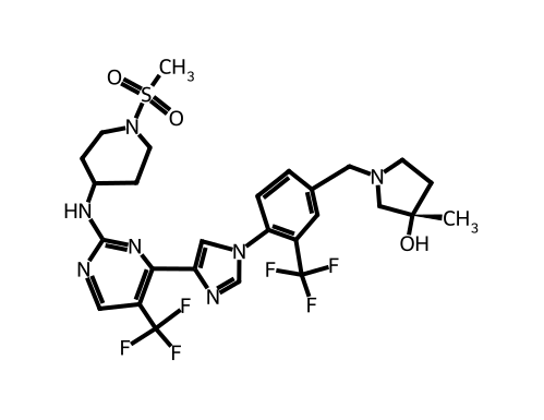 C[C@]1(O)CCN(Cc2ccc(-n3cnc(-c4nc(NC5CCN(S(C)(=O)=O)CC5)ncc4C(F)(F)F)c3)c(C(F)(F)F)c2)C1